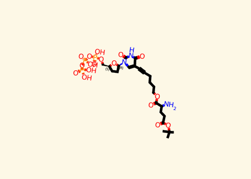 CC(C)(C)OC(=O)CCC(N)C(=O)OCCCCC#Cc1cn([C@H]2CC[C@@H](COP(=O)(O)OP(=O)(O)OP(=O)(O)O)O2)c(=O)[nH]c1=O